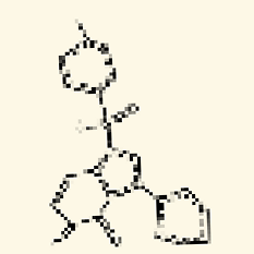 O=C1C=Cc2c(c(-c3ccccc3)cn2S(=O)(=O)c2ccc(F)cc2)C1=O